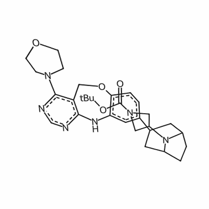 CC(C)(C)OC(=O)N1CC(N2C3CCC2CC(c2ccc4c(c2)Nc2ncnc(N5CCOCC5)c2CO4)C3)C1